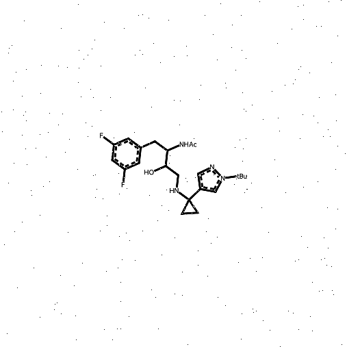 CC(=O)NC(Cc1cc(F)cc(F)c1)C(O)CNC1(c2cnn(C(C)(C)C)c2)CC1